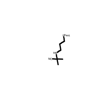 CCCCCCCCNC(C)(C)C#N